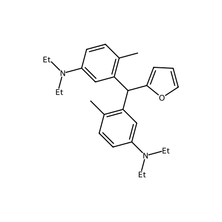 CCN(CC)c1ccc(C)c(C(c2ccco2)c2cc(N(CC)CC)ccc2C)c1